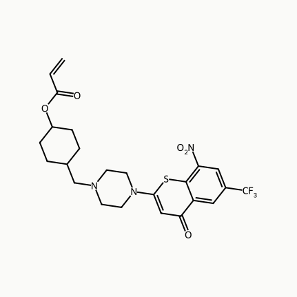 C=CC(=O)OC1CCC(CN2CCN(c3cc(=O)c4cc(C(F)(F)F)cc([N+](=O)[O-])c4s3)CC2)CC1